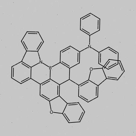 c1ccc(N(c2ccccc2)c2ccc3c(c2)C(c2cccc4c2oc2ccccc24)c2c4c(cc5oc6ccccc6c25)-c2cccc5c6ccccc6n(c25)B34)cc1